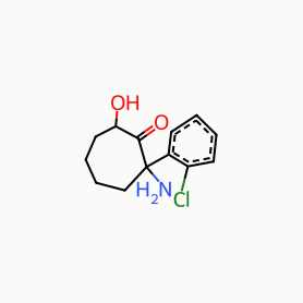 NC1(c2ccccc2Cl)CCCCC(O)C1=O